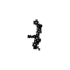 COc1cc2c(Oc3ccc(N)cc3F)ncnc2cc1OCC1CC2CN(C(=O)OCc3ccccc3)CC2C1